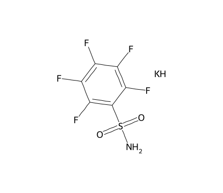 NS(=O)(=O)c1c(F)c(F)c(F)c(F)c1F.[KH]